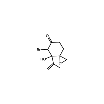 C=C(C)C1(O)C(Br)C(=O)CCC12CO2